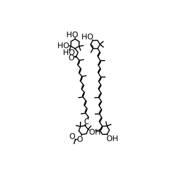 CC(=O)OC1CC(C)(C)C(=C=C/C(C)=C/C=C/C(C)=C/C=C/C=C(C)/C=C/C=C(\C)C(=O)CC2(O)C(C)(C)CC(O)CC2(C)O)C(C)(O)C1.CC1=CC(O)CC(C)(C)C1/C=C/C(C)=C/C=C/C(C)=C/C=C/C=C(C)/C=C/C=C(C)/C=C/C1=C(C)CC(O)CC1(C)C